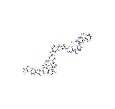 Cc1ncsc1-c1ccc([C@H](C)NC(=O)[C@@H]2C[C@@H](O)CN2C(=O)[C@@H](c2cc(N3CCC(CN4CCC(OC5CC(N6CCC(C(C)c7cn(-c8cc(-c9ccccc9O)nnc8N)cn7)CC6)C5)CC4)CC3)no2)C(C)C)cc1